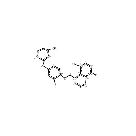 Fc1cc(Oc2cc(C(F)(F)F)ccn2)ccc1C[CH]c1ncnc2c(F)ccc(F)c12